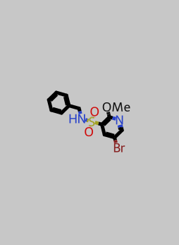 COc1ncc(Br)cc1S(=O)(=O)NCc1ccccc1